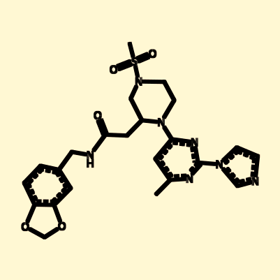 Cc1cc(N2CCN(S(C)(=O)=O)CC2CC(=O)NCc2ccc3c(c2)OCO3)nc(-n2ccnc2)n1